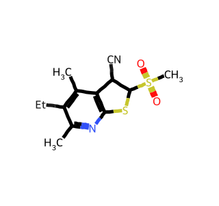 CCc1c(C)nc2c(c1C)C(C#N)C(S(C)(=O)=O)S2